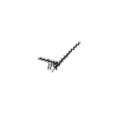 CCCCCCCCCCCCCCCCCCN(CCN)CC(O)CCCCCCCCCC